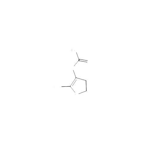 CC(=O)SC1=C(C)OCC1